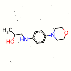 CC(O)CNc1ccc(N2CCOCC2)cc1